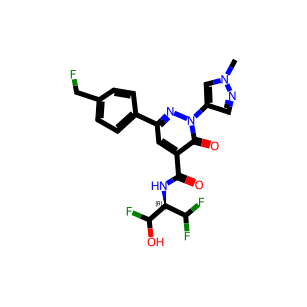 Cn1cc(-n2nc(-c3ccc(CF)cc3)cc(C(=O)N[C@H](C(O)F)C(F)F)c2=O)cn1